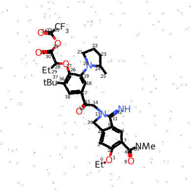 CCOc1cc2c(cc1C(=O)NC)C(=N)N(CC(=O)c1cc(N3CCCC3C)c(OC(CC)C(=O)OC(=O)C(F)(F)F)c(C(C)(C)C)c1)C2